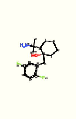 CC(C)(N)[C@@H]1CCCC[C@@]1(O)Cc1cc(F)ccc1F